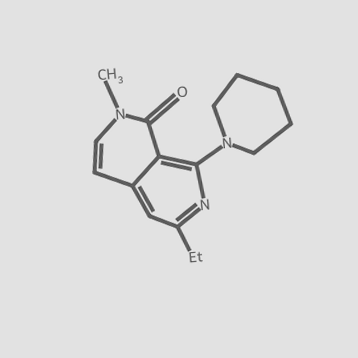 CCc1cc2ccn(C)c(=O)c2c(N2CCCCC2)n1